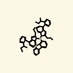 CCCC1=Cc2c(-c3ccccc3C(C)CC)cccc2[CH]1[Zr]([c]1cccc2c1[SiH2]c1ccccc1-2)[CH]1C(CCC)=Cc2c(-c3ccccc3C(C)CC)cccc21